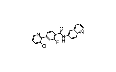 O=C(Nc1ccc2ncccc2c1)c1ccc(-c2ncccc2Cl)cc1F